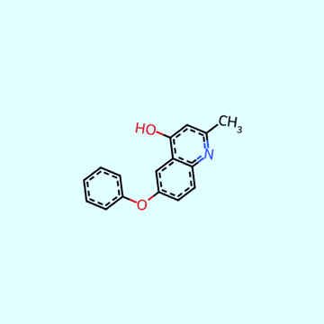 Cc1cc(O)c2cc(Oc3ccccc3)ccc2n1